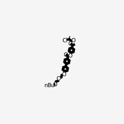 CCCCOCCOCCOc1ccc(-c2ccc(C(=O)Oc3ccc(C(C)OC(=O)[C@H](C)Cl)cc3)cc2)cc1